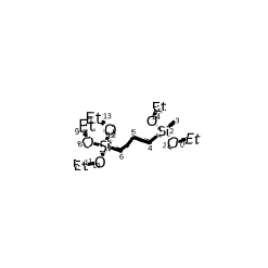 CCO[Si](C)(CCC[Si](OCC)(OCC)OCC)OCC